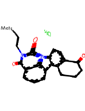 CNCCn1c(=O)c2cccc3c4c5c(ccc4n(c1=O)c23)C(=O)CCC5.Cl